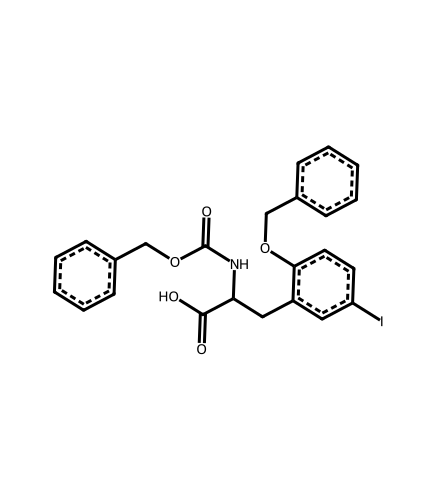 O=C(NC(Cc1cc(I)ccc1OCc1ccccc1)C(=O)O)OCc1ccccc1